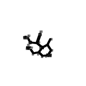 CC1CNCC(CC#N)N1C(=O)OC(C)(C)C